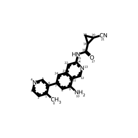 Cc1ccncc1-c1cc(N)c2cnc(NC(=O)C3CC3C#N)cc2c1